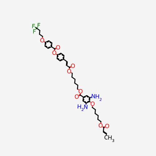 C/C=C/C(=O)OCCCCCCOc1c(N)cc(C(=O)OCCCCCCOC(=O)/C=C/c2ccc(OC(=O)c3ccc(OCCCC(F)(F)F)cc3)cc2)cc1N